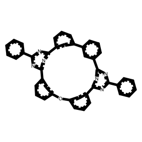 c1ccc(-c2nc3nc(n2)-c2cccc(c2)-c2cccc(c2)-c2nc(-c4ccccc4)nc(n2)-c2cccc(c2)Oc2cccc-3c2)cc1